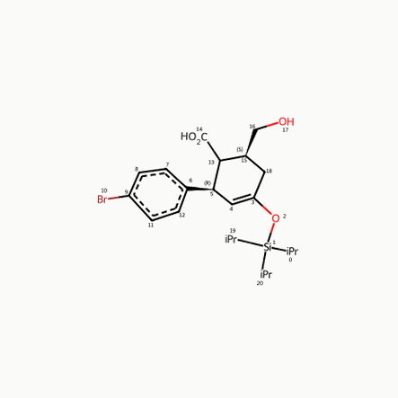 CC(C)[Si](OC1=C[C@@H](c2ccc(Br)cc2)C(C(=O)O)[C@@H](CO)C1)(C(C)C)C(C)C